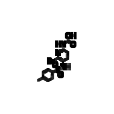 Cc1ccc(S(=O)(=O)Nc2ccc(NC(=O)O)nc2Br)cc1